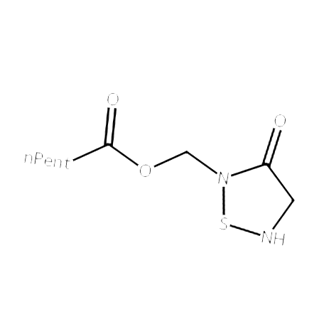 CCCCCC(=O)OCN1SNCC1=O